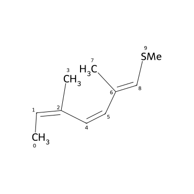 C\C=C(C)/C=C\C(C)=C\SC